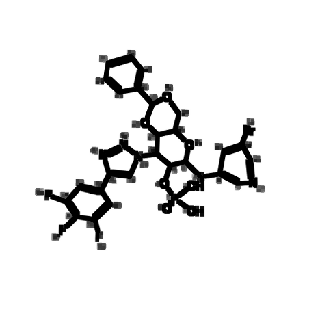 O=P(O)(O)OC1C(Sc2cncc(Br)c2)OC2COC(c3ccccc3)OC2C1n1cc(-c2cc(F)c(F)c(F)c2)nn1